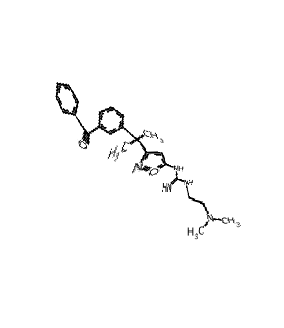 CN(C)CCNC(=N)Nc1cc(C(C)(C)c2cccc(C(=O)c3ccccc3)c2)no1